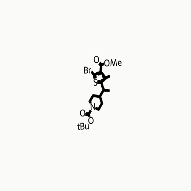 COC(=O)c1c(Br)sc(C(C)C2CCN(C(=O)OC(C)(C)C)CC2)c1C